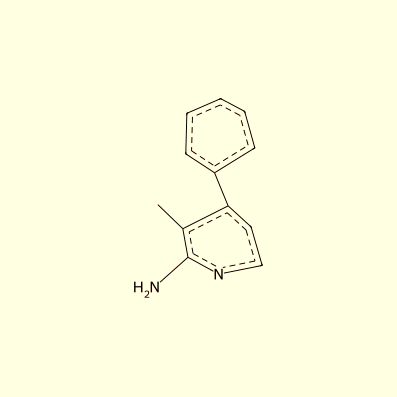 Cc1c(-c2ccccc2)ccnc1N